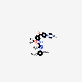 CCC[C@H](CC)Oc1ccc(C(=O)c2ccc(N3CCN(C(C)=O)CC3)cc2)cc1NC(=O)c1nnn(-c2cc(OC)ccc2OC)c1C